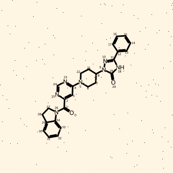 O=C(c1cc(N2CCC(n3nc(-c4ccccc4)[nH]c3=O)CC2)ncn1)N1CCc2ccccc21